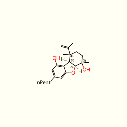 C=C(C)[C@]1(C)CC[C@](C)(O)[C@H]2Oc3cc(CCCCC)cc(O)c3[C@H]21